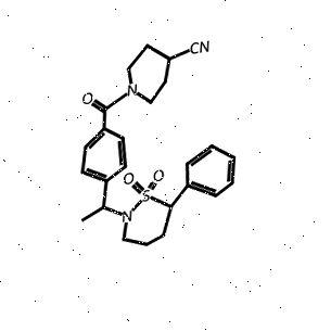 CC(c1ccc(C(=O)N2CCC(C#N)CC2)cc1)N1CCCC(c2ccccc2)S1(=O)=O